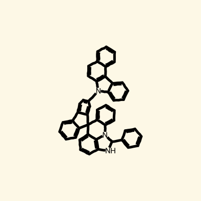 c1ccc(C2Nc3cccc4c3N2c2ccccc2C42c3ccccc3-c3ccc(-n4c5ccccc5c5c6ccccc6ccc54)cc32)cc1